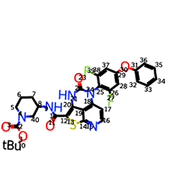 CC(C)(C)OC(=O)N1CCCC(NC(=O)c2sc3nccc4c3c2NC(=O)N4c2c(F)cc(Oc3ccccc3)cc2F)C1